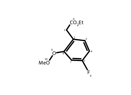 CCOC(=O)Cc1ccc(F)cc1OOC